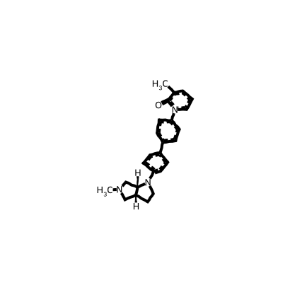 Cc1cccn(-c2ccc(-c3ccc(N4CC[C@@H]5CN(C)C[C@@H]54)cc3)cc2)c1=O